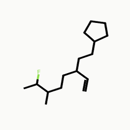 C=CC(CCC1CCCC1)CCC(C)C(C)F